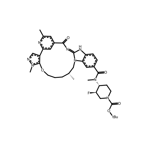 Cc1cc2cc(n1)-c1cnn(C)c1OCCC[C@@H](C)CN1/C(=N/C2=O)Nc2ccc(C(=O)N(C)[C@@H]3CCN(C(=O)OC(C)(C)C)C[C@H]3F)cc21